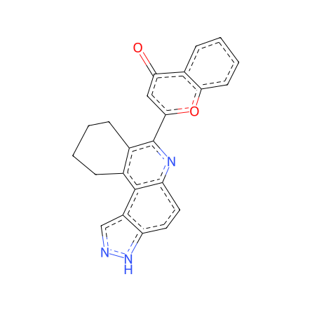 O=c1cc(-c2nc3ccc4[nH]ncc4c3c3c2CCCC3)oc2ccccc12